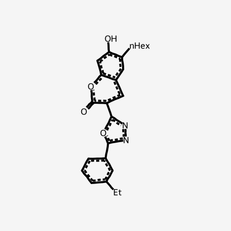 CCCCCCc1cc2cc(-c3nnc(-c4cccc(CC)c4)o3)c(=O)oc2cc1O